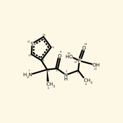 CC(NC(=O)[C@](C)(N)c1ccsc1)P(=O)(O)O